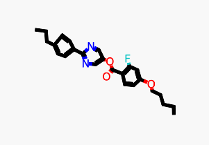 CCCCCOc1ccc(C(=O)Oc2cnc(-c3ccc(CCC)cc3)nc2)c(F)c1